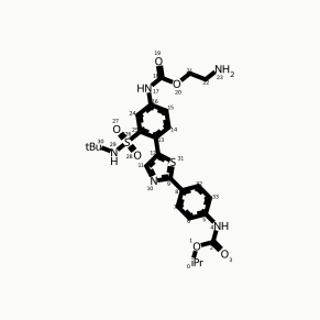 CC(C)OC(=O)Nc1ccc(-c2ncc(-c3ccc(NC(=O)OCCN)cc3S(=O)(=O)NC(C)(C)C)s2)cc1